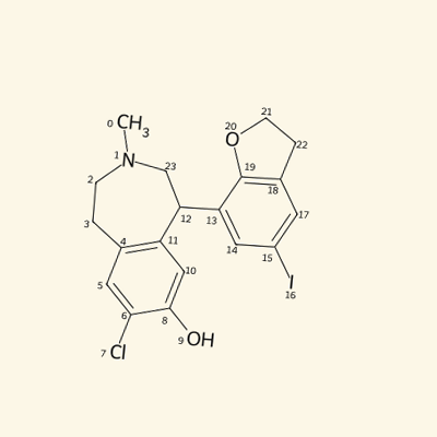 CN1CCc2cc(Cl)c(O)cc2C(c2cc(I)cc3c2OCC3)C1